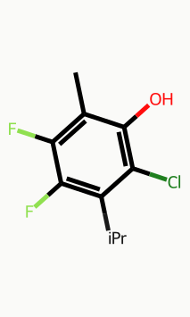 Cc1c(O)c(Cl)c(C(C)C)c(F)c1F